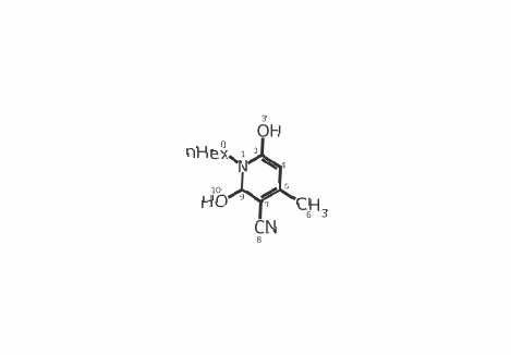 CCCCCCN1C(O)=CC(C)=C(C#N)C1O